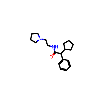 O=C(NCCN1CCCC1)C(c1ccccc1)C1CCCC1